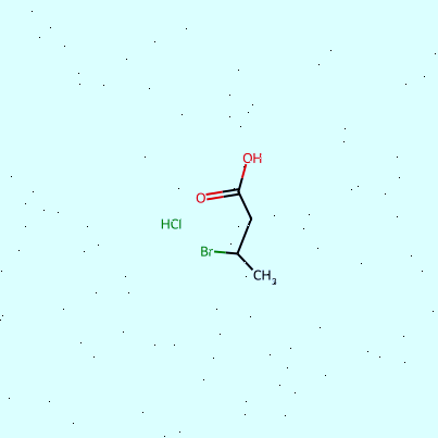 CC(Br)CC(=O)O.Cl